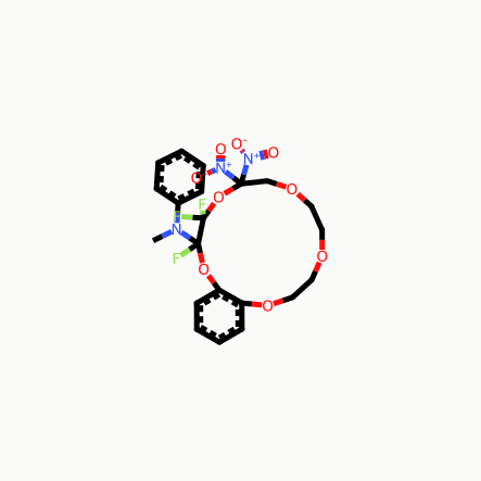 CN(c1ccccc1)C1(F)Oc2ccccc2OCCOCCOCC([N+](=O)[O-])([N+](=O)[O-])OC1(F)F